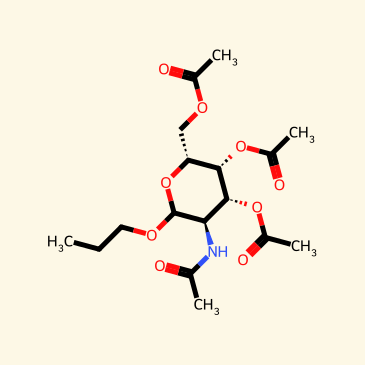 CCCOC1O[C@H](COC(C)=O)[C@H](OC(C)=O)[C@H](OC(C)=O)[C@H]1NC(C)=O